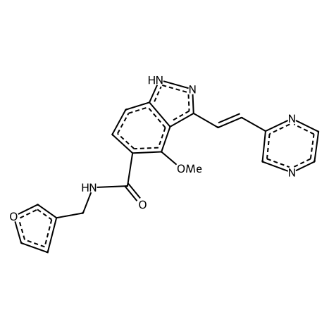 COc1c(C(=O)NCc2ccoc2)ccc2[nH]nc(/C=C/c3cnccn3)c12